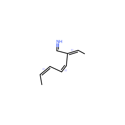 C\C=C/C=C\C(C=N)=C/C